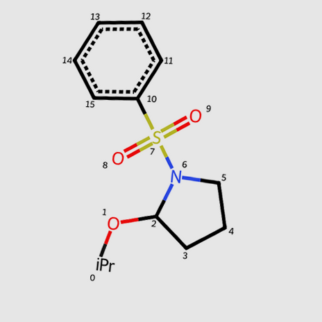 CC(C)OC1CCCN1S(=O)(=O)c1ccccc1